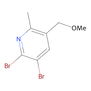 COCc1cc(Br)c(Br)nc1C